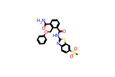 CS(=O)(=O)c1ccc2nc(NC(=O)c3cccc(C(N)=O)c3COc3ccccc3)sc2c1